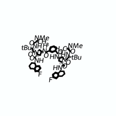 CN[C@@H](C)C(=O)N[C@H](C(=O)N1C[C@@H](NC(=O)c2cccc(C(=O)N[C@H]3C[C@@H](C(=O)NC4CCCc5cc(F)ccc54)N(C(=O)[C@@H](NC(=O)[C@H](C)NC)C(C)(C)C)C3)c2)C[C@H]1C(=O)NC1CCCc2cc(F)ccc21)C(C)(C)C